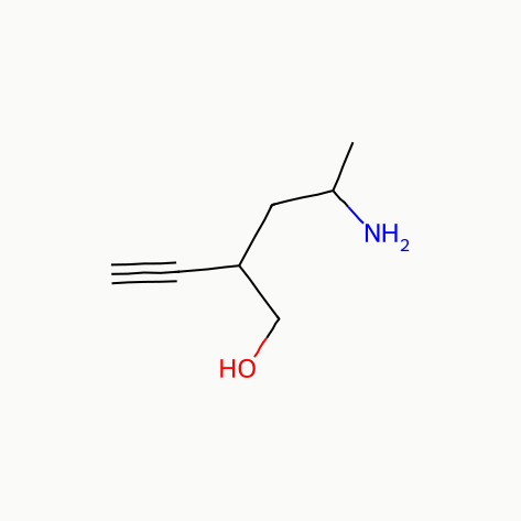 C#CC(CO)CC(C)N